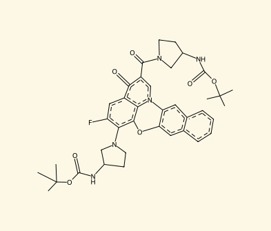 CC(C)(C)OC(=O)NC1CCN(C(=O)c2cn3c4c(c(N5CCC(NC(=O)OC(C)(C)C)C5)c(F)cc4c2=O)Oc2cc4ccccc4cc2-3)C1